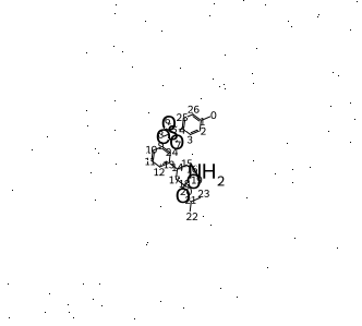 Cc1ccc(S(=O)(=O)Oc2cccc(C(CN)CC(=O)OC(C)C)c2)cc1